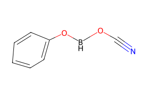 N#COBOc1ccccc1